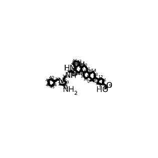 CC1(C)C(c2ccc(C(=O)O)cc2)=CC[C@@]2(C)C1CC[C@@]1(C)C3CC[C@@]4(NC(=O)CNCC5CC(N)CN5Cc5ccccc5)CCC[C@@H]4[C@H]3CCC12